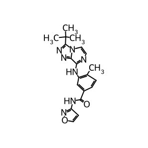 Cc1ccc(C(=O)Nc2ccon2)cc1Nc1nccn2c(C(C)(C)C)nnc12